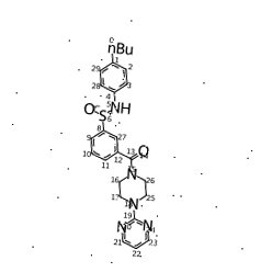 CCCCc1ccc(N[S+]([O-])c2cccc(C(=O)N3CCN(c4ncccn4)CC3)c2)cc1